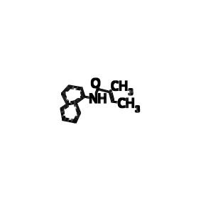 CC=C(C)C(=O)Nc1cccc2ccccc12